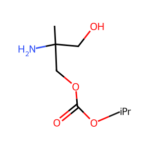 CC(C)OC(=O)OCC(C)(N)CO